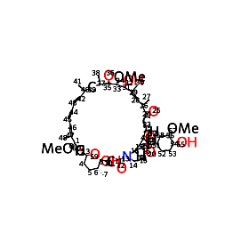 CO[C@H]1C[C@@H]2CC[C@@H](C)[C@](O)(CC(=O)N3CCCC4[C@H]3C(=O)O[C@@H](CC(=O)[C@H](C)/C=C(\C)[C@@H](O)[C@@H](OC)C(=O)[C@H](C)C[C@H](C)/C=C/C=C/C=C/1C)[C@H]4C[C@@H]1CC[C@@H](O)[C@H](OC)C1)O2